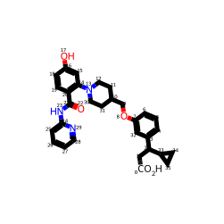 O=C(O)CC(c1cccc(OCC2CCN(c3cc(O)ccc3C(=O)Nc3ccccn3)CC2)c1)C1CC1